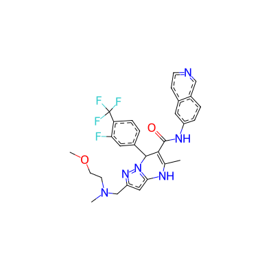 COCCN(C)Cc1cc2n(n1)C(c1ccc(C(F)(F)F)c(F)c1)C(C(=O)Nc1ccc3cnccc3c1)=C(C)N2